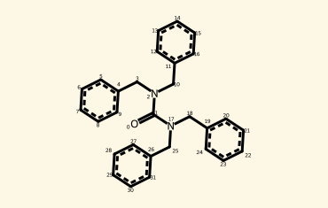 O=C(N(Cc1ccccc1)Cc1ccccc1)N(Cc1ccccc1)Cc1ccccc1